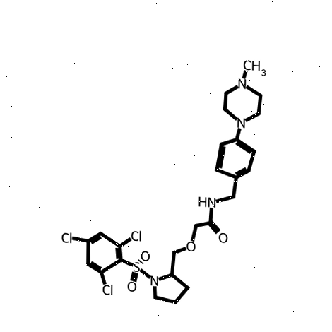 CN1CCN(c2ccc(CNC(=O)COCC3CCCN3S(=O)(=O)c3c(Cl)cc(Cl)cc3Cl)cc2)CC1